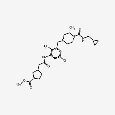 Cc1c(CN2CCN(C(=O)NCC3CC3)[C@@H](C)C2)cc(Cl)cc1NC(=O)CC1CCN(C(=O)OC(C)(C)C)C1